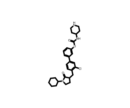 O=C(NC1CCNCC1)Oc1cccc(-c2ccc(CC3CCN(C4CCCCC4)C3=O)c(Cl)c2)c1